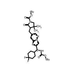 CC(C)(C)OC(=O)N[C@H](c1cn2ncc(CC3C(=O)N(C(=O)OC(C)(C)C)CC3(C)C)cc2n1)C1CCC(F)(F)CC1